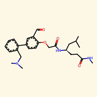 CNC(=O)CC[C@H](CC(C)C)NC(=O)COc1ccc(-c2ccccc2CN(C)C)cc1C=O